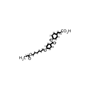 C=CC(=O)OCCCCCCOc1ccc(C(=O)Oc2ccc(C=CC(=O)O)cc2)cc1